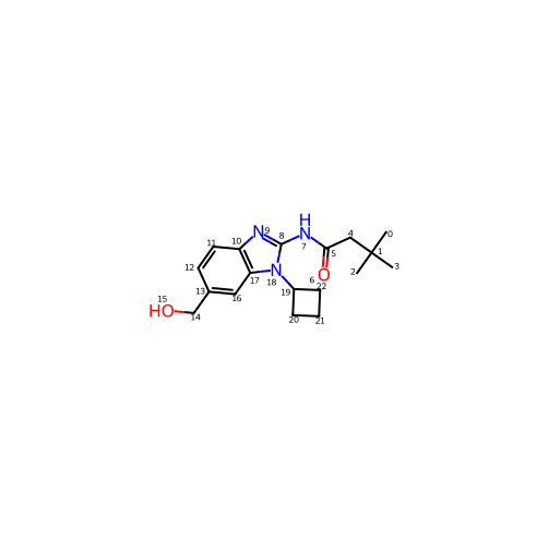 CC(C)(C)CC(=O)Nc1nc2ccc(CO)cc2n1C1CCC1